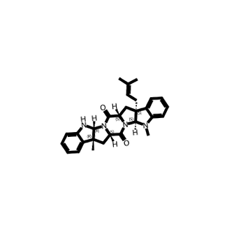 CC(C)=CC[C@@]12C[C@H]3C(=O)N4[C@H]5Nc6ccccc6[C@@]5(C)C[C@H]4C(=O)N3[C@@H]1N(C)c1ccccc12